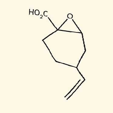 C=CC1CCC2(C(=O)O)OC2C1